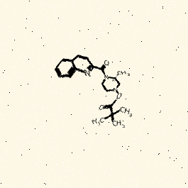 C[C@@H]1CN(OC(=O)C(C)(C)C)CCN1C(=O)c1ccc2ccccc2n1